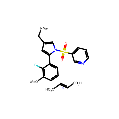 CNCc1cc(-c2cccc(OC)c2F)n(S(=O)(=O)c2cccnc2)c1.O=C(O)/C=C/C(=O)O